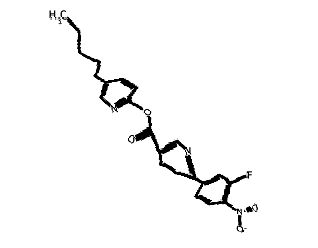 CCCCCc1ccc(OC(=O)c2ccc(-c3ccc([N+](=O)[O-])c(F)c3)nc2)nc1